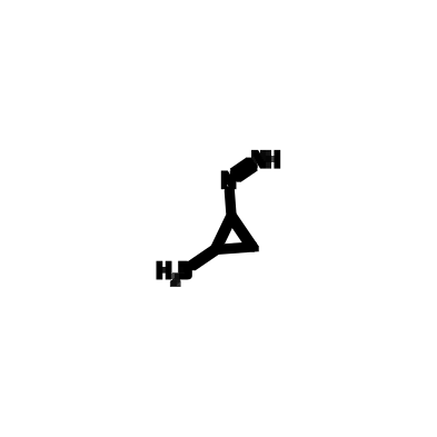 BC1CC1N=N